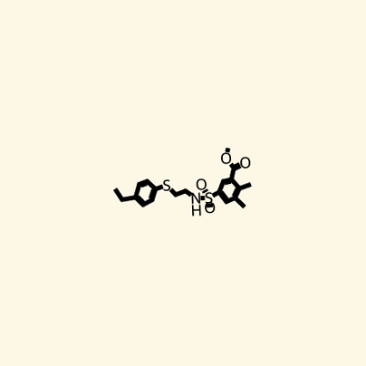 CCc1ccc(SCCNS(=O)(=O)c2cc(C)c(C)c(C(=O)OC)c2)cc1